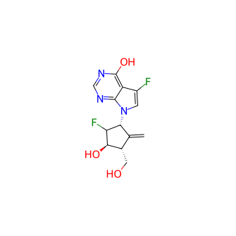 C=C1[C@@H](n2cc(F)c3c(O)ncnc32)C(F)[C@H](O)[C@H]1CO